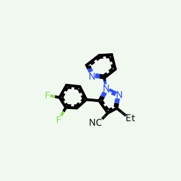 CCc1nn(-c2ccccn2)c(-c2ccc(F)c(F)c2)c1C#N